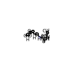 COc1cc2ncnc(Nc3ccc(F)c(Cl)c3)c2cc1NC(=O)/C=C/CN1CCCC(Nc2cccc3c2CN(C2CCC(=O)NC2=O)C3=O)C1